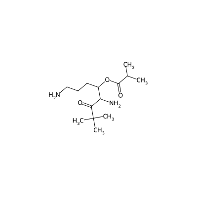 CC(C)C(=O)OC(CCCN)C(N)C(=O)C(C)(C)C